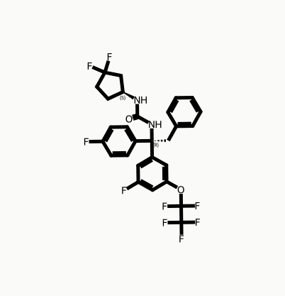 O=C(N[C@H]1CCC(F)(F)C1)N[C@](Cc1ccccc1)(c1ccc(F)cc1)c1cc(F)cc(OC(F)(F)C(F)(F)F)c1